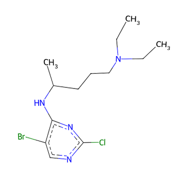 CCN(CC)CCCC(C)Nc1nc(Cl)ncc1Br